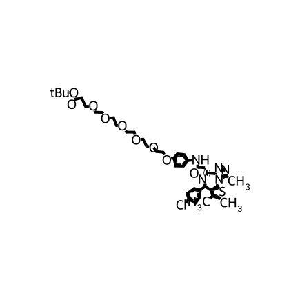 Cc1sc2c(c1C)C(c1ccc(Cl)cc1)=N[C@@H](CC(=O)Nc1ccc(OCCOCCOCCOCCOCCOCCC(=O)OC(C)(C)C)cc1)c1nnc(C)n1-2